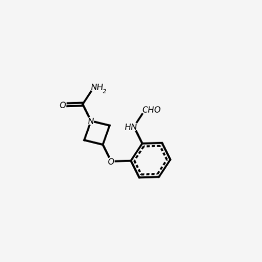 NC(=O)N1CC(Oc2ccccc2NC=O)C1